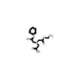 CCOC(=O)CN(CC(=O)O)CC(=O)O.c1ccccc1